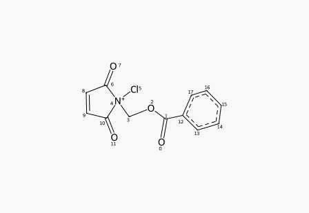 O=C(OC[N+]1(Cl)C(=O)C=CC1=O)c1ccccc1